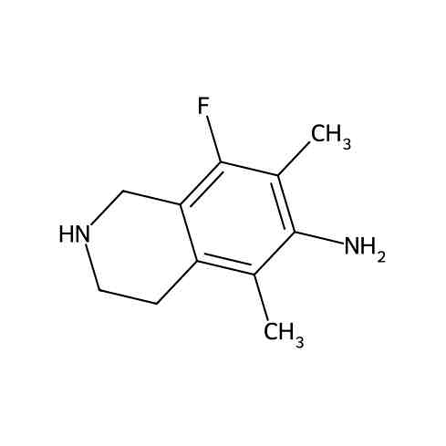 Cc1c(N)c(C)c2c(c1F)CNCC2